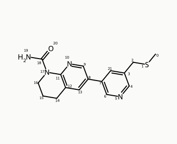 CSCc1cncc(-c2cnc3c(c2)CCCN3C(N)=O)c1